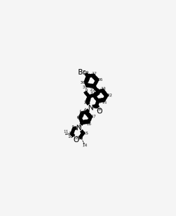 Cc1cn(-c2ccc(N3C[C@@H](C)O[C@@H](C)C3)cc2)c(=O)c2cccc(-c3ccc(Br)cc3)c12